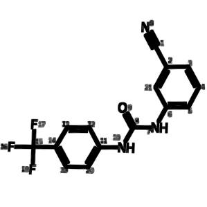 N#Cc1cccc(NC(=O)Nc2ccc(C(F)(F)F)cc2)c1